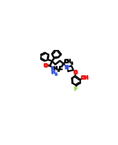 CC(C)(CCC(C(N)=O)(c1ccccc1)c1ccccc1)N1CC(Oc2ccc(F)cc2O)C1